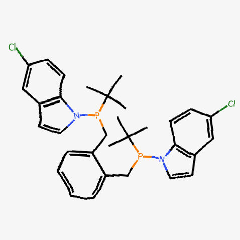 CC(C)(C)P(Cc1ccccc1CP(n1ccc2cc(Cl)ccc21)C(C)(C)C)n1ccc2cc(Cl)ccc21